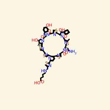 Cc1sc2nc1C(=O)N[C@@H]([C@H](O)c1ccccc1)c1nc(cs1)C(=O)N[C@@H](Cc1ccc(O)cc1)C(=O)N1C[C@H](O)[C@H](C)[C@H]1c1nc(cs1)-c1nc(cs1)-c1nc(-c3nc(CNCCCCC(=O)O)cs3)ccc1-c1nc(cs1)C(=O)N[C@H]2CC(N)=O